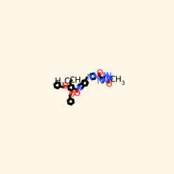 CC(C)c1cc(C(=O)N2Cc3ccc(CN4CCN(C(=O)c5ncn6c(=O)n(C)nnc56)CC4)cc3C2)c(OCc2ccccc2)cc1OCc1ccccc1